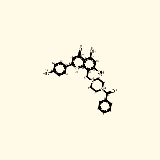 O=C(c1ccccc1)N1CCN(Cc2c(O)cc(O)c3c(=O)cc(-c4ccc(O)cc4)oc23)CC1